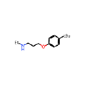 CCNCCCOc1ccc(C(C)(C)C)cc1